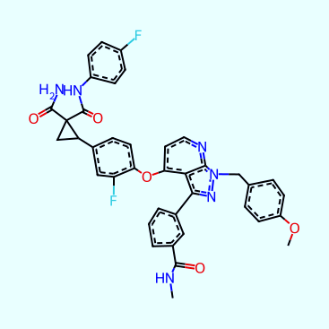 CNC(=O)c1cccc(-c2nn(Cc3ccc(OC)cc3)c3nccc(Oc4ccc(C5CC5(C(N)=O)C(=O)Nc5ccc(F)cc5)cc4F)c23)c1